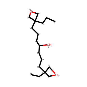 CCCC1(CCCC(O)CCCC2(CC)COC2)COC1